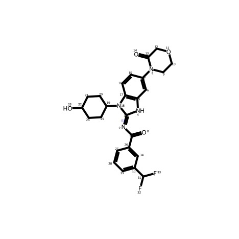 O=C(/N=c1\[nH]c2cc(N3CCOCC3=O)ccc2n1C1CCC(O)CC1)c1cccc(C(F)F)c1